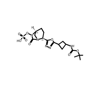 CC(C)(C)OC(=O)NC1CC(c2nnc([C@@H]3CC[C@H]4CN3C(=O)N4OS(=O)(=O)O)o2)C1